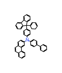 C1=CCCC(C2(c3ccc(N(c4ccc(-c5ccccc5)cc4)c4ccc5ccc6ccccc6c5c4)cc3)c3ccccc3-c3ccccc32)=C1